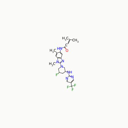 CC(C)=CCC(=O)Nc1cc2nc(N3C[C@H](F)C[C@H](Nc4ncc(C(F)(F)F)cn4)C3)n(C)c2cc1C